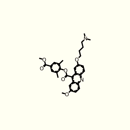 COC(=O)c1cc(C)c(OC(=O)c2c3cc(OC)ccc3nc3ccc(OCCCCN(C)C)cc23)c(C)c1